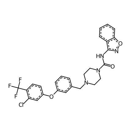 O=C(Nc1noc2ccccc12)N1CCN(Cc2cccc(Oc3ccc(C(F)(F)F)c(Cl)c3)c2)CC1